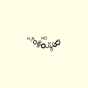 Cl.NC1CCN(S(=O)(=O)c2ccc(CNC(=O)c3cc4ccncc4o3)cc2)C1